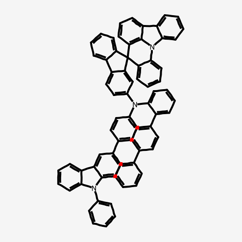 c1ccc(-c2ccc(-c3ccccc3N(c3ccc(-c4ccc5c(c4)c4ccccc4n5-c4ccccc4)cc3)c3ccc4c(c3)C3(c5ccccc5-4)c4ccccc4-n4c5ccccc5c5cccc3c54)cc2)cc1